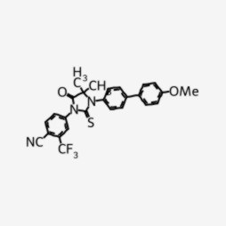 COc1ccc(-c2ccc(N3C(=S)N(c4ccc(C#N)c(C(F)(F)F)c4)C(=O)C3(C)C)cc2)cc1